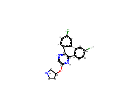 Clc1ccc(-c2ncc(OC3CCNC3)nc2-c2ccc(Cl)cc2)cc1